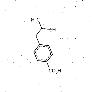 CC(S)Cc1ccc(C(=O)O)cc1